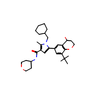 Cc1c(C(=O)NC2CCOCC2)cc(-c2cc3c(c(C(C)(C)C)c2)OCCC3O)n1CC1CCCCC1